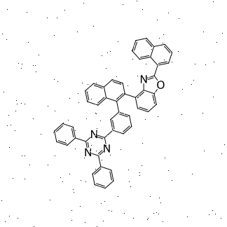 c1ccc(-c2nc(-c3ccccc3)nc(-c3cccc(-c4c(-c5cccc6oc(-c7cccc8ccccc78)nc56)ccc5ccccc45)c3)n2)cc1